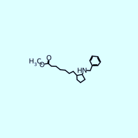 COC(=O)CCCCCCC1CCCC1NCc1ccccc1